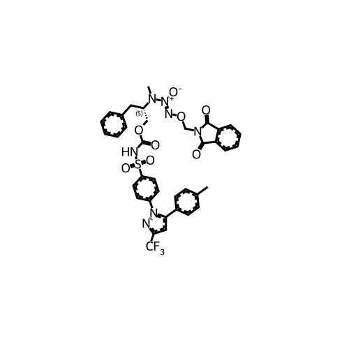 Cc1ccc(-c2cc(C(F)(F)F)nn2-c2ccc(S(=O)(=O)NC(=O)OC[C@H](Cc3ccccc3)N(C)[N+]([O-])=NOCN3C(=O)c4ccccc4C3=O)cc2)cc1